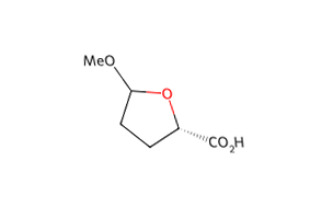 COC1CC[C@@H](C(=O)O)O1